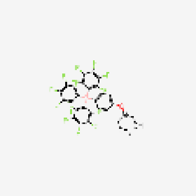 C[CH2][Al]([CH2]C)[O]c1ccc([B-](c2c(F)c(F)c(F)c(F)c2F)(c2c(F)c(F)c(F)c(F)c2F)c2c(F)c(F)c(F)c(F)c2F)cc1